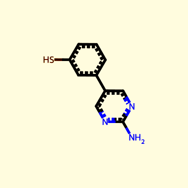 Nc1ncc(-c2cccc(S)c2)cn1